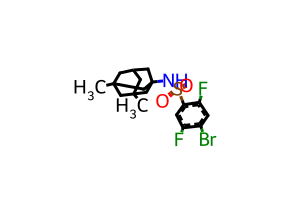 CC12CC3CC(C)(C1)CC(NS(=O)(=O)c1cc(F)c(Br)cc1F)(C3)C2